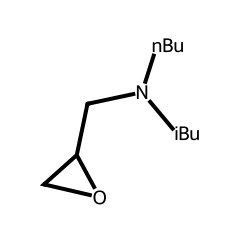 CCCCN(CC1CO1)C(C)CC